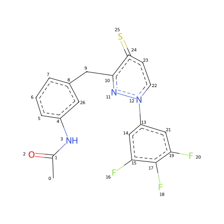 CC(=O)Nc1cccc(Cc2nn(-c3cc(F)c(F)c(F)c3)ccc2=S)c1